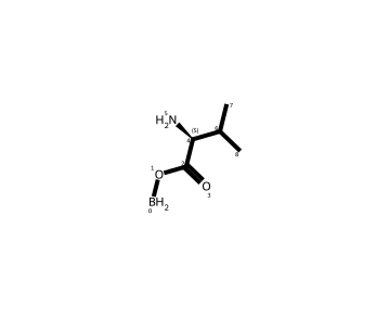 BOC(=O)[C@@H](N)C(C)C